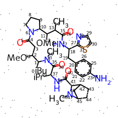 CCC(C)C(C(CC(=O)N1CCCC1C(OC)C(C)C(=O)NC(Cc1ccc(N)cc1)c1nccs1)OC)N(C)C(=O)C(NC(=O)C1C2CCC(C2)N1C)C(C)C